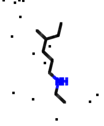 CCNCCCC(C)CC